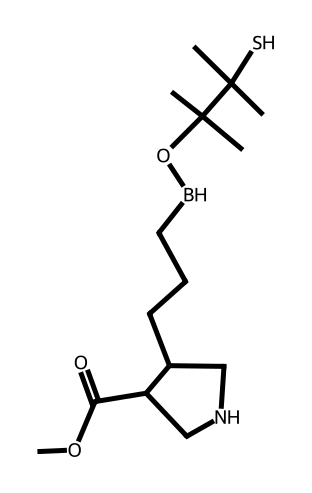 COC(=O)C1CNCC1CCCBOC(C)(C)C(C)(C)S